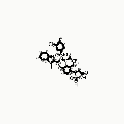 Cc1ccc(S(=O)(=O)N(OC(=O)C(F)(F)F)[C@@H](Cc2ccc(C3CC(=O)NS3(O)O)c(Br)c2)c2nc3ccccc3[nH]2)cc1Cl